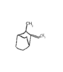 C=C1C2CCC(C2)C1C